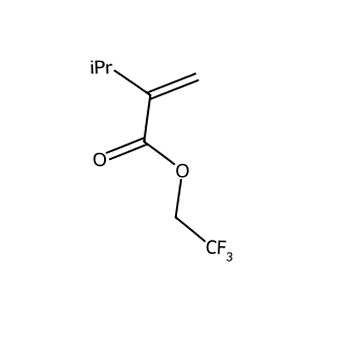 C=C(C(=O)OCC(F)(F)F)C(C)C